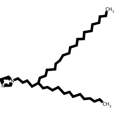 CCCCCCCCCCCCCCCCCCCC(CCCCCCCCCCCCC)CCCCn1ccnc1